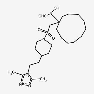 Cc1noc(C)c1CCC1CCN(S(=O)(=O)CC2(N(O)C=O)CCCCCCCCCC2)CC1